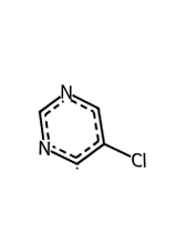 Clc1[c]ncnc1